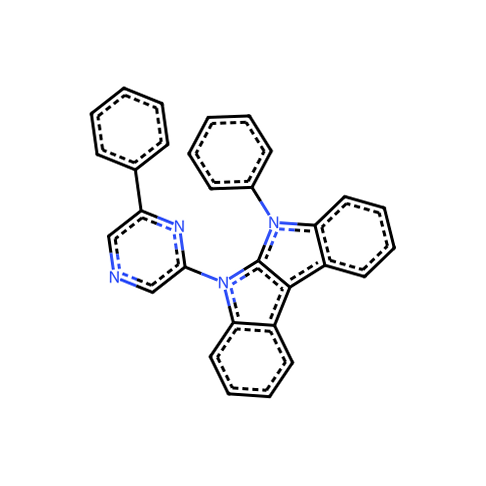 c1ccc(-c2cncc(-n3c4ccccc4c4c5ccccc5n(-c5ccccc5)c43)n2)cc1